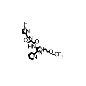 O=C(Nc1cn(CCOCC(F)(F)F)nc1-c1ccccn1)c1coc(-c2cc[nH]n2)n1